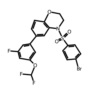 O=S(=O)(c1ccc(Br)cc1)N1CCOc2ccc(-c3cc(F)cc(OC(F)F)c3)cc21